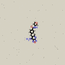 Cc1nc2nonc2c(N)c1Cc1ccc(C(=O)NC2CCOC2)cc1